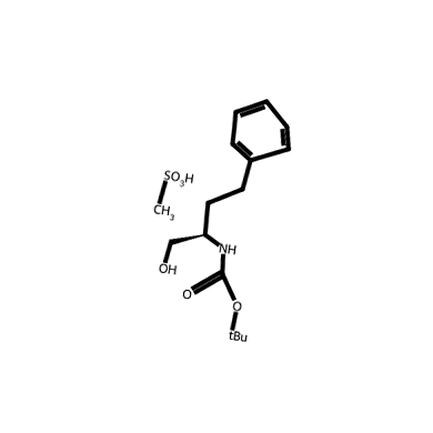 CC(C)(C)OC(=O)N[C@@H](CO)CCc1ccccc1.CS(=O)(=O)O